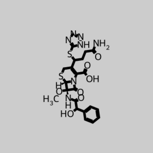 CO[C@@]1(NC(=O)C(O)c2ccccc2)C(=O)N2C(C(=O)O)=C(C(CCC(N)=O)Sc3nnn[nH]3)CS[C@H]21